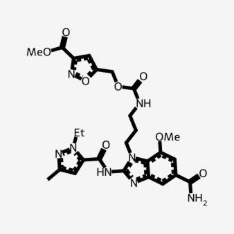 CCn1nc(C)cc1C(=O)Nc1nc2cc(C(N)=O)cc(OC)c2n1CCCNC(=O)OCc1cc(C(=O)OC)no1